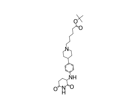 CC(C)(C)OC(=O)CCCCCN1CCC(c2ccc(NC3CCC(=O)NC3=O)cc2)CC1